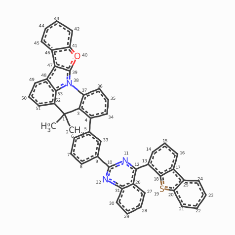 CC1(C)c2c(-c3cccc(-c4nc(-c5cccc6c5sc5ccccc56)c5ccccc5n4)c3)cccc2-n2c3oc4ccccc4c3c3cccc1c32